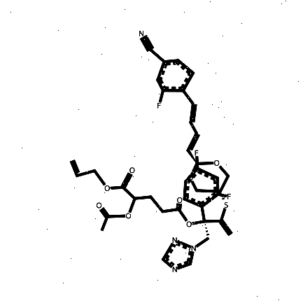 C=CCOC(=O)C(CCC(=O)O[C@](Cn1cncn1)(C(=C)S[C@H]1CO[C@H](/C=C/C=C/c2ccc(C#N)cc2F)OC1)c1ccc(F)cc1F)OC(C)=O